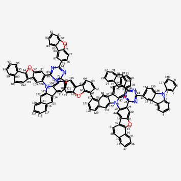 c1ccc(-n2c3ccccc3c3cc(-c4nc(-c5ccc6ccccc6c5)nc(-c5cc6oc7c8ccccc8ccc7c6cc5-n5c6cc7ccccc7cc6c6cc7c(-c8cccc9c8oc8ccc(-c%10nc(-c%11ccc%12oc%13ccccc%13c%12c%11)nc(-c%11cc%12oc%13c%14ccccc%14ccc%13c%12cc%11-n%11c%12ccccc%12c%12cc%13ccccc%13cc%12%11)n%10)cc89)cccc7cc65)n4)ccc32)cc1